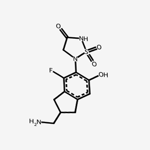 NCC1Cc2cc(O)c(N3CC(=O)NS3(=O)=O)c(F)c2C1